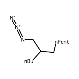 CCCCCCC(CCCC)CN=[N+]=[N-]